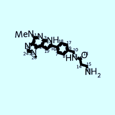 CNc1nc2[nH]c(-c3ccc(CNC(=O)CCN)cc3)cc2c2c1ncn2C